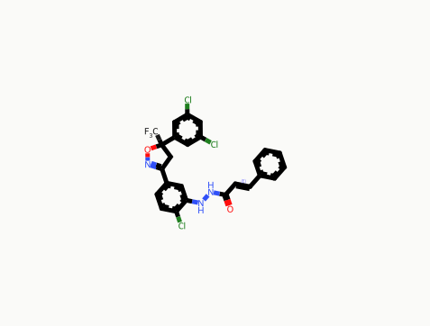 O=C(/C=C/c1ccccc1)NNc1cc(C2=NOC(c3cc(Cl)cc(Cl)c3)(C(F)(F)F)C2)ccc1Cl